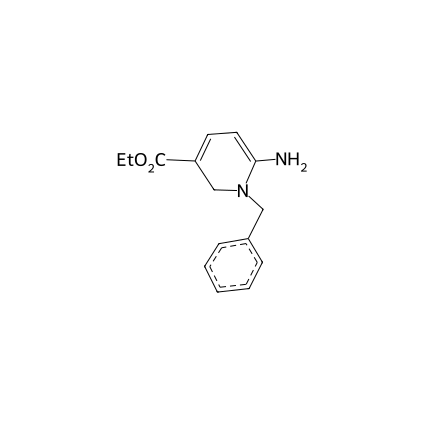 CCOC(=O)C1=CC=C(N)N(Cc2ccccc2)C1